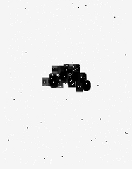 O=CO[C@@H]1[C@H](O)[C@@H](COP(=O)(O)S)O[C@H]1n1cnc2c(NC(=O)c3ccccc3)ncnc21